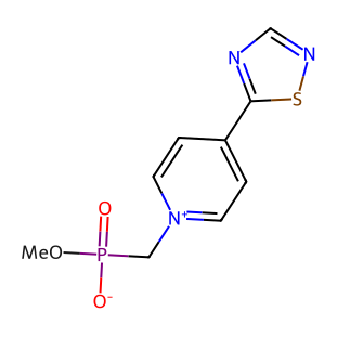 COP(=O)([O-])C[n+]1ccc(-c2ncns2)cc1